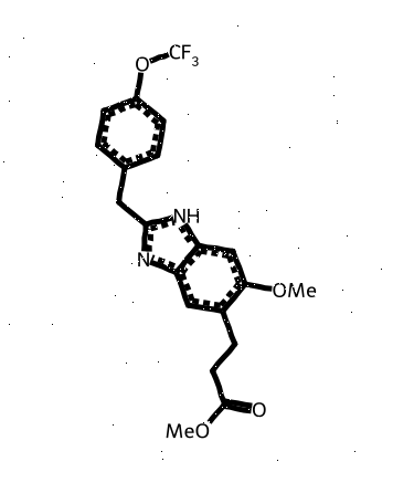 COC(=O)CCc1cc2nc(Cc3ccc(OC(F)(F)F)cc3)[nH]c2cc1OC